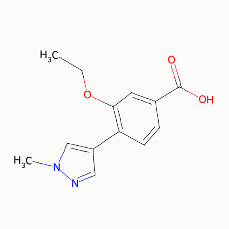 CCOc1cc(C(=O)O)ccc1-c1cnn(C)c1